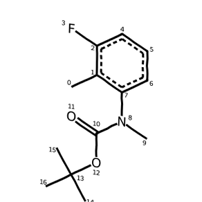 Cc1c(F)cccc1N(C)C(=O)OC(C)(C)C